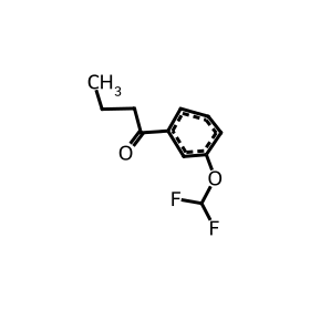 CCCC(=O)c1cccc(OC(F)F)c1